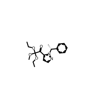 CCOC(OC)(OCC)C(=O)c1ccnn1[C@H](C)c1ccccc1